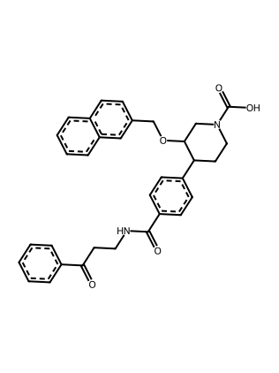 O=C(CCNC(=O)c1ccc(C2CCN(C(=O)O)CC2OCc2ccc3ccccc3c2)cc1)c1ccccc1